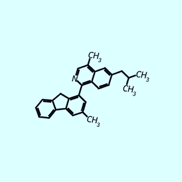 Cc1cc2c(c(-c3ncc(C)c4cc(CC(C)C)ccc34)c1)Cc1ccccc1-2